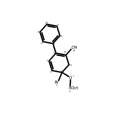 CCCCCCCCOC1(Br)C=CC(c2ccccc2)=C(C#N)C1